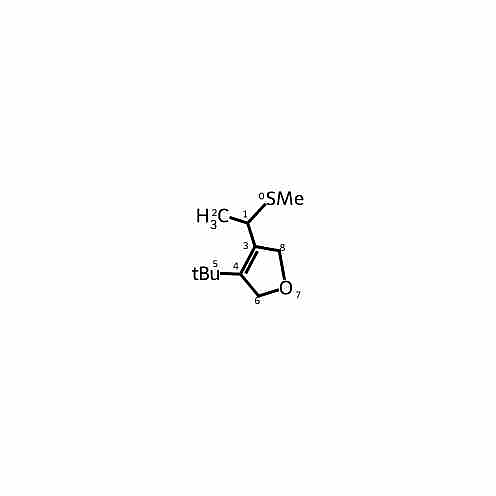 CSC(C)C1=C(C(C)(C)C)COC1